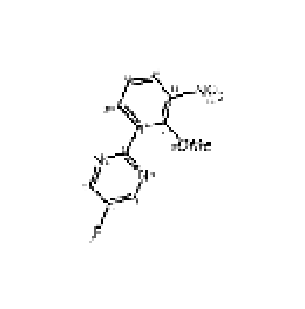 COc1c(-c2ncc(F)cn2)cccc1[N+](=O)[O-]